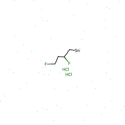 Cl.Cl.FCCC(F)[CH2][Sn]